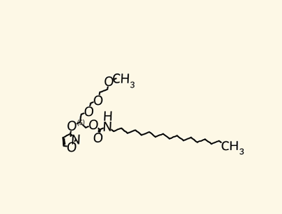 CCCCCCCCCCCCCCCCCNC(=O)OC[C@H](COCOCCOC)Oc1ccon1